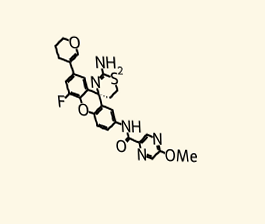 COc1cnc(C(=O)Nc2ccc3c(c2)[C@@]2(CCSC(N)=N2)c2cc(C4=COCCC4)cc(F)c2O3)cn1